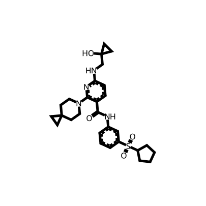 O=C(Nc1cccc(S(=O)(=O)C2CCCC2)c1)c1ccc(NCC2(O)CC2)nc1N1CCC2(CC1)CC2